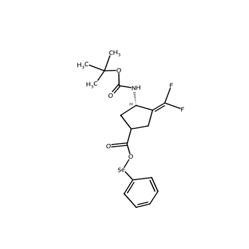 CC(C)(C)OC(=O)N[C@H]1CC(C(=O)O[Se]c2ccccc2)CC1=C(F)F